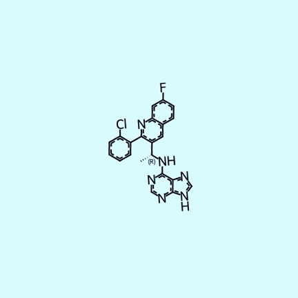 C[C@@H](Nc1ncnc2[nH]cnc12)c1cc2ccc(F)cc2nc1-c1ccccc1Cl